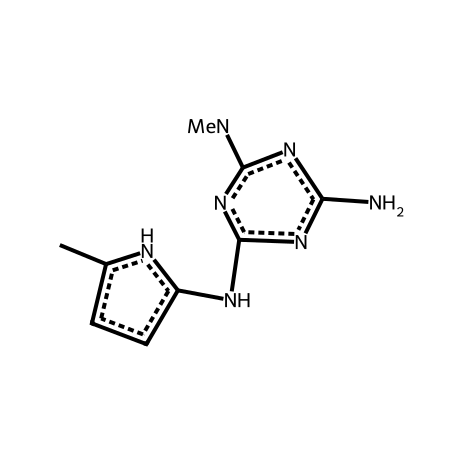 CNc1nc(N)nc(Nc2ccc(C)[nH]2)n1